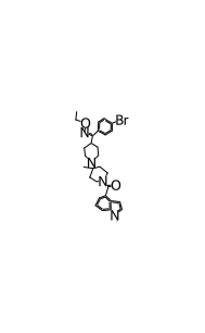 CCO/N=C(\c1ccc(Br)cc1)C1CCN(C2(C)CCN(C(=O)c3cccc4c3ccn4C)CC2)CC1